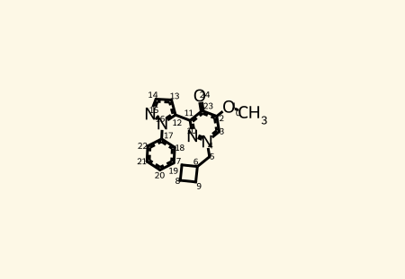 COc1cn(CC2CCC2)nc(-c2ccnn2-c2ccccc2)c1=O